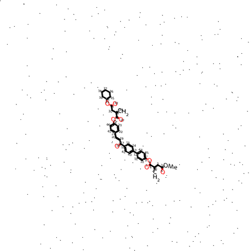 C=C(CC(=O)OC)C(=O)Oc1ccc(-c2ccc(C(=O)/C=C/c3ccc(OC(=O)C(=C)CC(=O)OC4CCCCC4)cc3)cc2)cc1